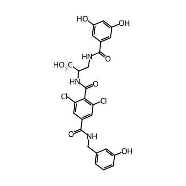 O=C(NCc1cccc(O)c1)c1cc(Cl)c(C(=O)NC(CNC(=O)c2cc(O)cc(O)c2)C(=O)O)c(Cl)c1